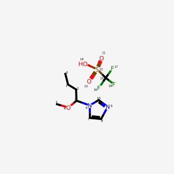 CCCC(OC)n1ccnc1.O=S(=O)(O)C(F)(F)F